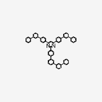 c1ccc(-c2cccc(-c3ccc(-c4cc(-c5ccc(-c6cccc(-c7ccccc7)c6)cc5)nc(-c5ccc(-c6cccc(-c7cccc(-c8ccccc8)c7)c6)cc5)n4)cc3)c2)cc1